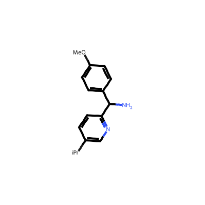 COc1ccc(C(N)c2ccc(C(C)C)cn2)cc1